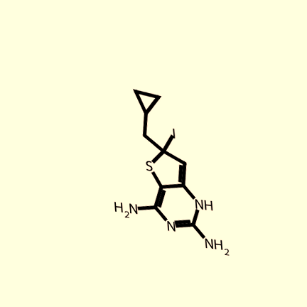 NC1=NC(N)=C2SC(I)(CC3CC3)C=C2N1